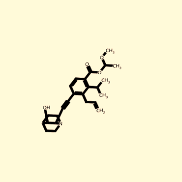 C=CCc1c(C#CC2C(O)C3CCN2CC3)ccc(C(=O)OC(C)OC)c1C(C)C